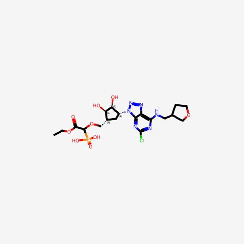 CCOC(=O)C(OC[C@H]1C[C@@H](n2nnc3c(NCC4CCOC4)nc(Cl)nc32)[C@H](O)[C@@H]1O)P(=O)(O)O